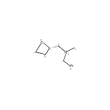 CC(C)CN(C)C[C@@H]1CCO1